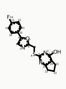 Oc1nc(SCc2ncc(-c3ccc(F)cc3)o2)nc2c1CCC2